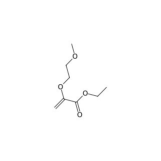 C=C(OCCOC)C(=O)OCC